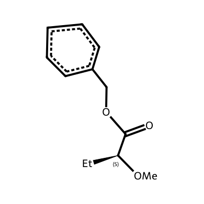 CC[C@H](OC)C(=O)OCc1ccccc1